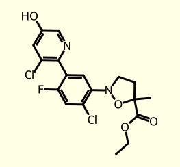 CCOC(=O)C1(C)CCN(c2cc(-c3ncc(O)cc3Cl)c(F)cc2Cl)O1